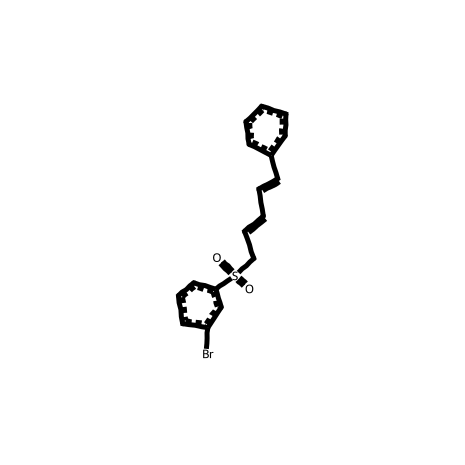 O=S(=O)(CC=CC=Cc1ccccc1)c1cccc(Br)c1